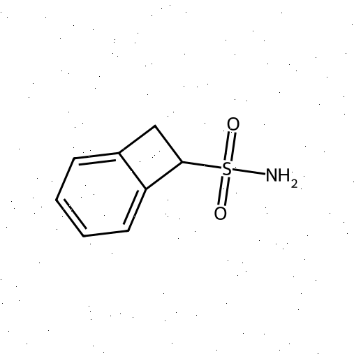 NS(=O)(=O)C1Cc2ccccc21